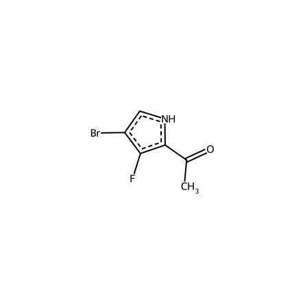 CC(=O)c1[nH]cc(Br)c1F